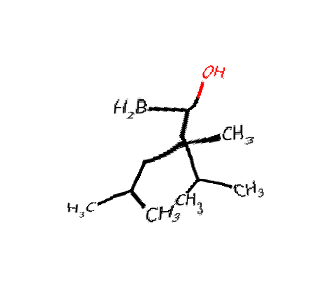 BC(O)[C@@](C)(CC(C)C)C(C)C